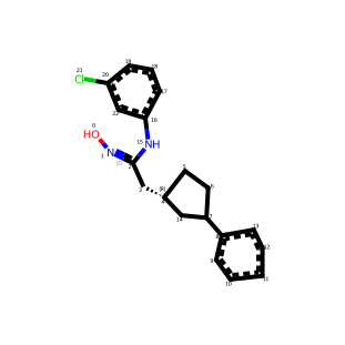 O/N=C(/C[C@@H]1CCC(c2ccccc2)C1)Nc1cccc(Cl)c1